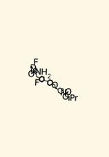 CC(C)OC(=O)N1CCC(COc2ccc(-c3ccc(C[C@H](N)C(=O)N4CC[C@H](F)C4)c(F)c3)cc2)CC1